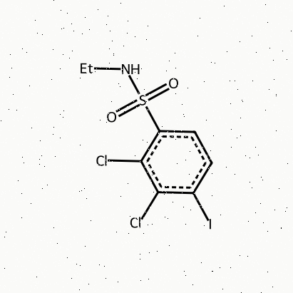 CCNS(=O)(=O)c1ccc(I)c(Cl)c1Cl